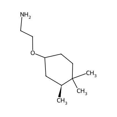 C[C@H]1CC(OCCN)CCC1(C)C